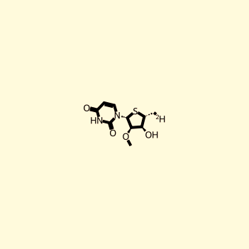 [2H]C[C@H]1S[C@@H](n2ccc(=O)[nH]c2=O)[C@H](OC)[C@@H]1O